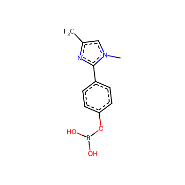 Cn1cc(C(F)(F)F)nc1-c1ccc(OB(O)O)cc1